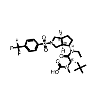 CCN(C(=O)[C@H](CC(C)(C)C)N(C)C(=O)O)[C@H]1CC[C@@H]2CN(S(=O)(=O)c3ccc(C(F)(F)F)cc3)C[C@@H]21